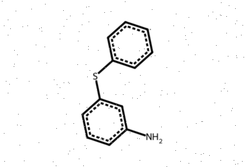 Nc1cccc(Sc2cc[c]cc2)c1